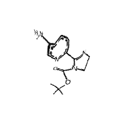 CC(C)(C)OC(=O)N1CCN=C1c1ccc(N)cn1